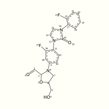 O=CC1OC(CO)CN1c1ccc(-n2ccn(-c3ccccc3F)c2=O)c(F)c1